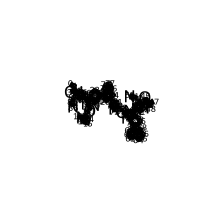 C=CC(=O)N1CCN(c2nc(OC[C@@H]3CCCN3C)nc3c2CCCN(c2c(C)c(C4C[C@@H](COc5nc6c(c(N7CCN(C(=O)C(=C)F)[C@@H](CC#N)C7)n5)CCCN(c5cccc7cccc(C)c57)C6)N(C)C4)cc4ccccc24)C3)C[C@@H]1CC#N